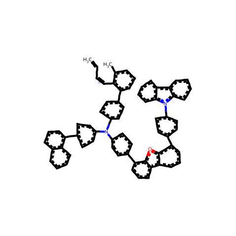 C=C/C=C\c1c(C)cccc1-c1ccc(N(c2ccc(-c3cccc4ccccc34)cc2)c2ccc(-c3cccc4c3oc3c(-c5ccc(-n6c7ccccc7c7ccccc76)cc5)cccc34)cc2)cc1